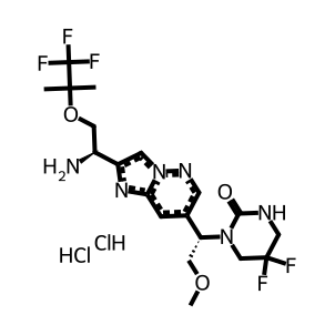 COC[C@H](c1cnn2cc([C@@H](N)COC(C)(C)C(F)(F)F)nc2c1)N1CC(F)(F)CNC1=O.Cl.Cl